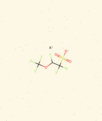 O=S(=O)([O-])C(F)(F)C(F)OC(F)(F)F.[K+]